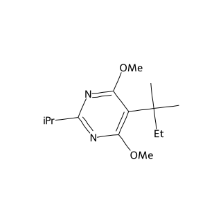 CCC(C)(C)c1c(OC)nc(C(C)C)nc1OC